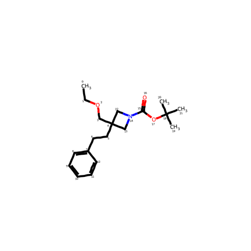 CCOCC1(CCc2ccccc2)CN(C(=O)OC(C)(C)C)C1